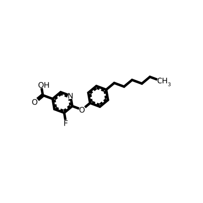 CCCCCCc1ccc(Oc2ncc(C(=O)O)cc2F)cc1